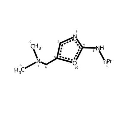 CCCNc1ncc(CN(C)C)o1